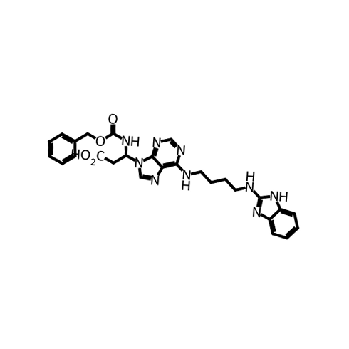 O=C(O)CC(NC(=O)OCc1ccccc1)n1cnc2c(NCCCCNc3nc4ccccc4[nH]3)ncnc21